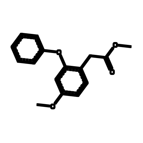 COC(=O)Cc1ccc(OC)cc1Oc1ccccc1